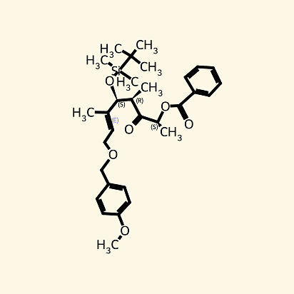 COc1ccc(COC/C=C(\C)[C@@H](O[Si](C)(C)C(C)(C)C)[C@@H](C)C(=O)[C@H](C)OC(=O)c2ccccc2)cc1